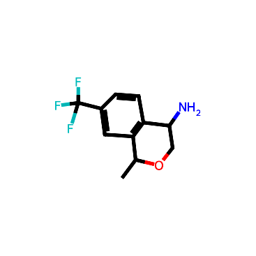 CC1OCC(N)c2ccc(C(F)(F)F)cc21